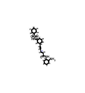 Nc1ccccc1NC(=O)/C=C/C#Cc1cccc(NS(=O)(=O)c2ccccc2)c1